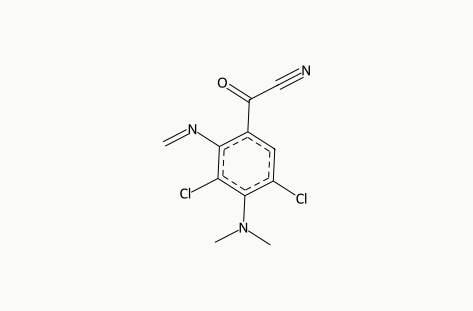 C=Nc1c(C(=O)C#N)cc(Cl)c(N(C)C)c1Cl